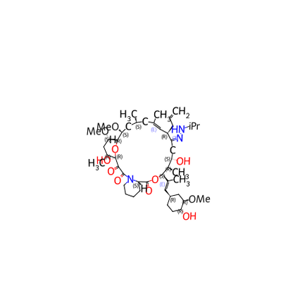 C=CC[C@@H]1/C=C(\C)C[C@H](C)C[C@H](OC)[C@H]2O[C@@](O)(C(=O)C(=O)N3CCCC[C@H]3C(=O)O[C@H](/C(C)=C/[C@@H]3CC[C@@H](O)[C@H](OC)C3)[C@H](C)[C@@H](O)C/C1=N/NC(C)C)[C@H](C)C[C@@H]2OC